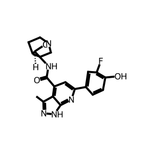 Cc1n[nH]c2nc(-c3ccc(O)c(F)c3)cc(C(=O)N[C@@H]3CN4CCC3CC4)c12